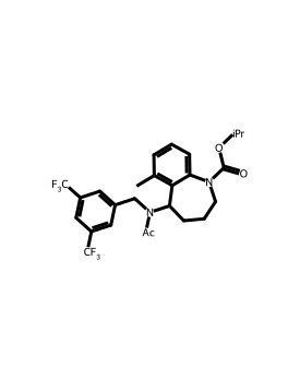 CC(=O)N(Cc1cc(C(F)(F)F)cc(C(F)(F)F)c1)C1CCCN(C(=O)OC(C)C)c2cccc(C)c21